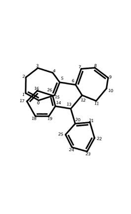 C1=CCCCC(C2=CC=CCCC2C(c2ccccc2)c2ccccc2)=C1